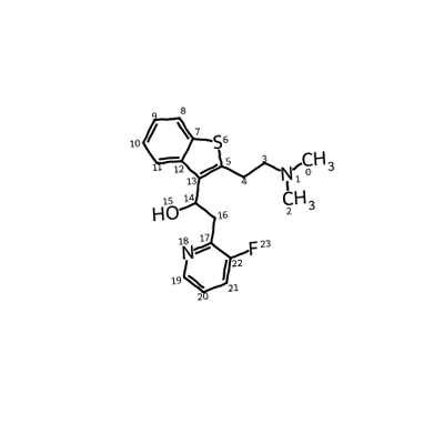 CN(C)CCc1sc2ccccc2c1C(O)Cc1ncccc1F